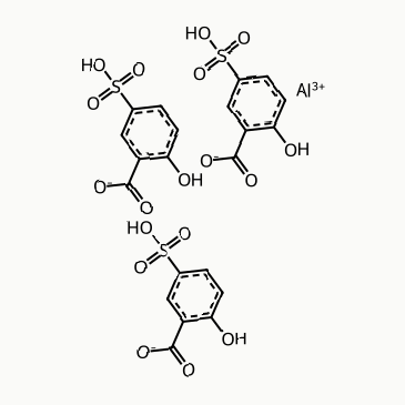 O=C([O-])c1cc(S(=O)(=O)O)ccc1O.O=C([O-])c1cc(S(=O)(=O)O)ccc1O.O=C([O-])c1cc(S(=O)(=O)O)ccc1O.[Al+3]